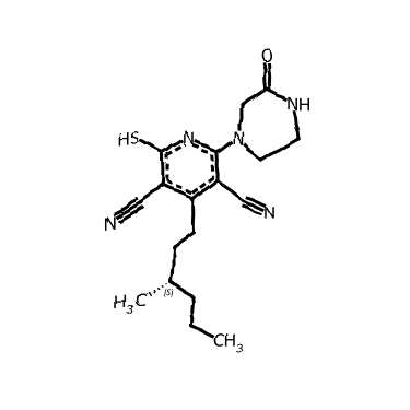 CCC[C@H](C)CCc1c(C#N)c(S)nc(N2CCNC(=O)C2)c1C#N